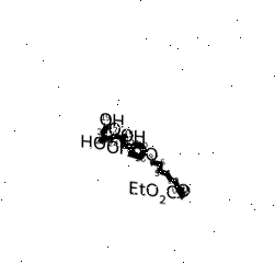 CCOC(=O)C1(CCCCCCOc2ccc(CC(O)C3OC(O)CC(O)C3O)cc2)CO1